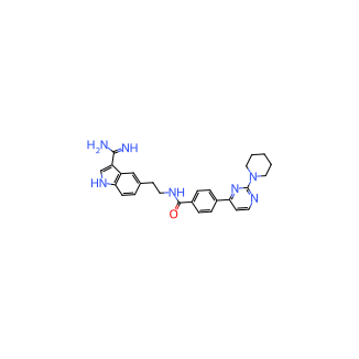 N=C(N)c1c[nH]c2ccc(CCNC(=O)c3ccc(-c4ccnc(N5CCCCC5)n4)cc3)cc12